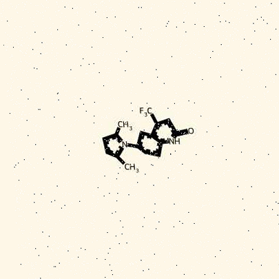 Cc1ccc(C)n1-c1ccc2[nH]c(=O)cc(C(F)(F)F)c2c1